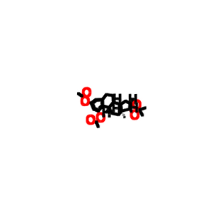 CC(=O)Oc1cc2c(c(OC(C)=O)c1)[C@H]1CC[C@@]3(C)[C@@H](C[C@@H]4OC(C)(C)O[C@@H]43)[C@H]1CC2